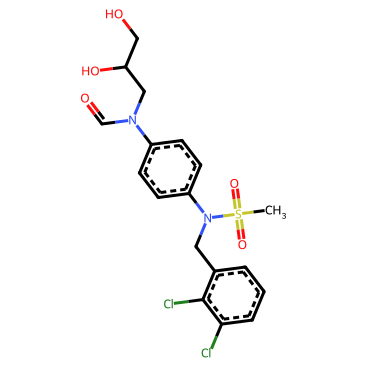 CS(=O)(=O)N(Cc1cccc(Cl)c1Cl)c1ccc(N(C=O)CC(O)CO)cc1